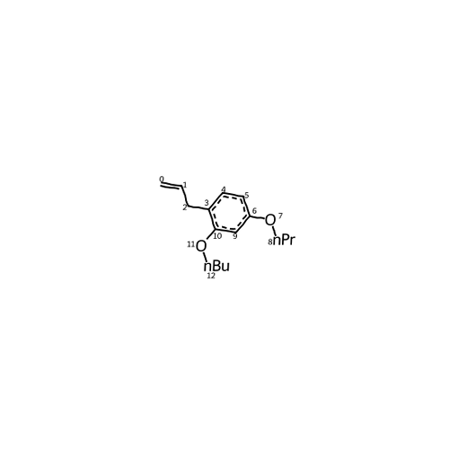 C=CCc1ccc(OCCC)cc1OCCCC